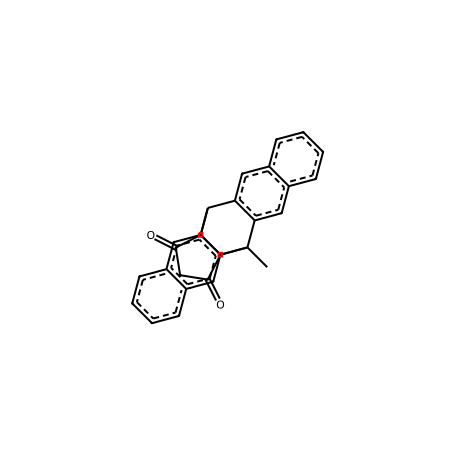 CC12c3cc4ccccc4cc3C(c3cc4ccccc4cc31)C1C(=O)CC(=O)C12